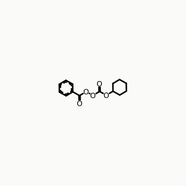 O=C(OOC(=O)c1ccccc1)OC1CCCCC1